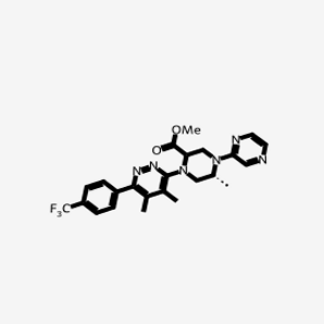 COC(=O)C1CN(c2cnccn2)[C@H](C)CN1c1nnc(-c2ccc(C(F)(F)F)cc2)c(C)c1C